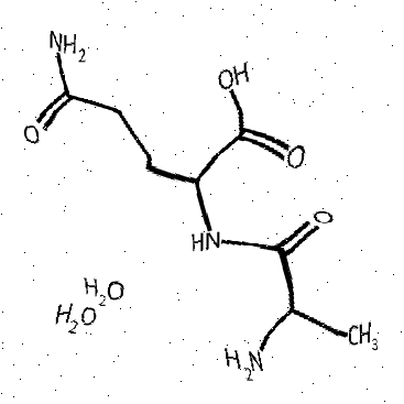 CC(N)C(=O)NC(CCC(N)=O)C(=O)O.O.O